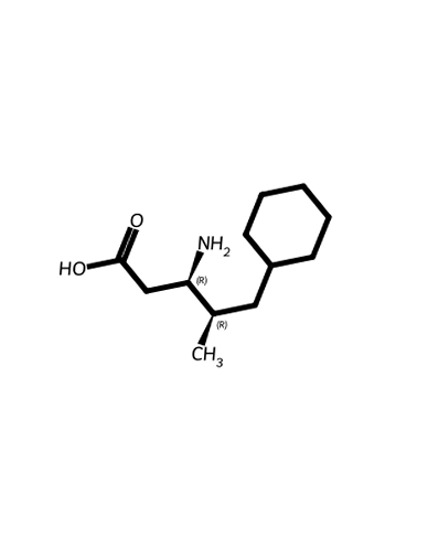 C[C@H](CC1CCCCC1)[C@H](N)CC(=O)O